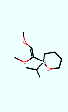 COC=C(OC)[Si]1(C(C)C)CCCCO1